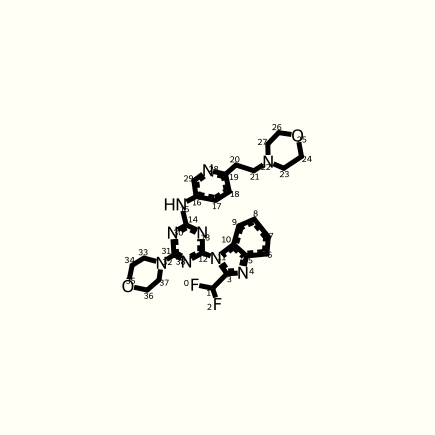 FC(F)c1nc2ccccc2n1-c1nc(Nc2ccc(CCN3CCOCC3)nc2)nc(N2CCOCC2)n1